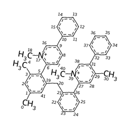 Cc1cc(C)c(-c2ccc(-c3ccccc3)c[n+]2C)c(Cc2ccccc2-c2cc(C)c(-c3ccccc3)c[n+]2C)c1